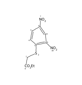 CCOC(=O)CSc1ccc([N+](=O)[O-])cc1[N+](=O)[O-]